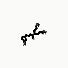 CC(C)CCC(CCC(C)C)NCCCC1CCNC1